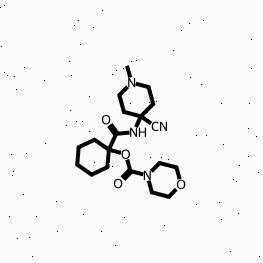 CN1CCC(C#N)(NC(=O)C2(OC(=O)N3CCOCC3)CCCCC2)CC1